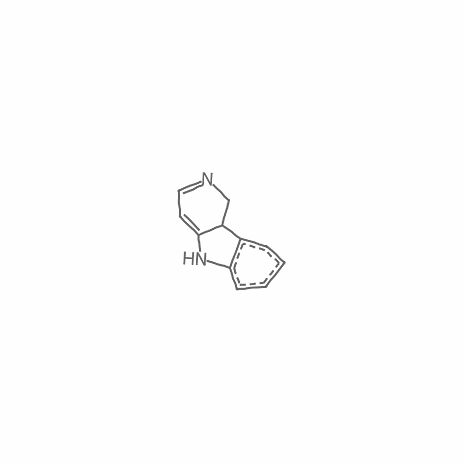 C1=NCC2C(=C1)Nc1ccccc12